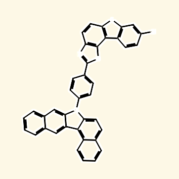 Clc1ccc2c(c1)sc1ccc3nc(-c4ccc(-n5c6cc7ccccc7cc6c6c7ccccc7ccc65)cc4)oc3c12